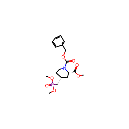 COC(=O)[C@@H]1C[C@H](CP(=O)(OC)OC)CCN1C(=O)OCc1ccccc1